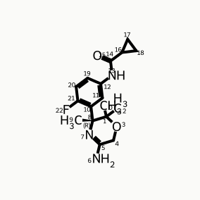 CC1(C)OCC(N)=N[C@]1(C)c1cc(NC(=O)C2CC2)ccc1F